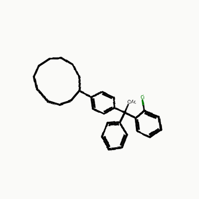 CC(=O)OC(c1ccccc1)(c1ccc(C2CCCCCCCCCC2)cc1)c1ccccc1Cl